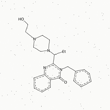 CCC(c1nc2ccccc2c(=O)n1Cc1ccccc1)N1CCN(CCO)CC1